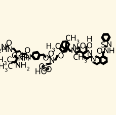 Cc1c(-c2ccc(N3CCc4cccc(C(=O)Nc5nc6ccccc6s5)c4C3)nc2C(=O)O)cnn1CC12CC3(C)CC(C)(C1)CC(OCCN(CCS(=O)(=O)O)C(=O)OCc1ccc(NC(=O)[C@H](CCCNC(N)=O)NC(=O)[C@@H](N)C(C)C)cc1)(C3)C2